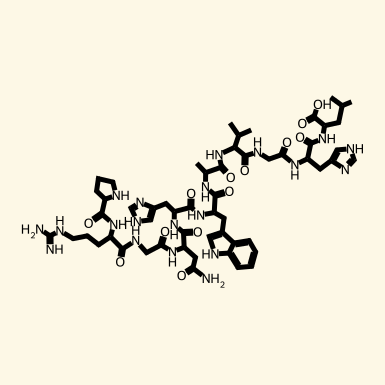 CC(C)CC(NC(=O)C(Cc1c[nH]cn1)NC(=O)CNC(=O)C(NC(=O)C(C)NC(=O)C(Cc1c[nH]c2ccccc12)NC(=O)C(Cc1c[nH]cn1)NC(=O)C(CC(N)=O)NC(=O)CNC(=O)C(CCCNC(=N)N)NC(=O)C1CCCN1)C(C)C)C(=O)O